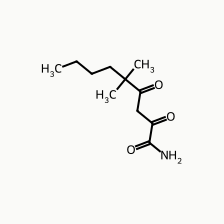 CCCCC(C)(C)C(=O)CC(=O)C(N)=O